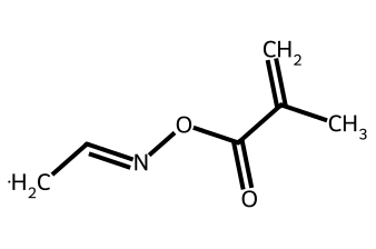 [CH2]C=NOC(=O)C(=C)C